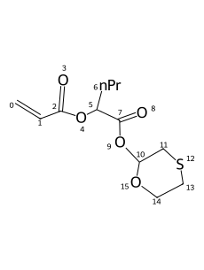 C=CC(=O)OC(CCC)C(=O)OC1CSCCO1